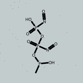 CP(O)OP(=O)(N=O)OP(=O)(O)N=O